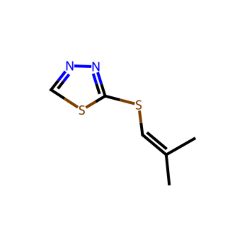 CC(C)=CSc1nncs1